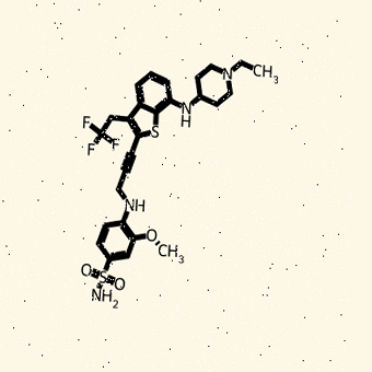 CCN1CCC(Nc2cccc3c(CC(F)(F)F)c(C#CCNc4ccc(S(N)(=O)=O)cc4OC)sc23)CC1